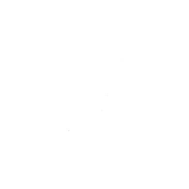 O=C(/C=C\C(=O)OCCCBr)OCCCBr